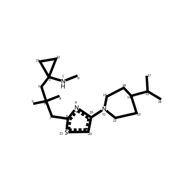 CNC1(CC(C)(C)Cc2nc(N3CCC(C(C)C)CC3)cs2)CC1